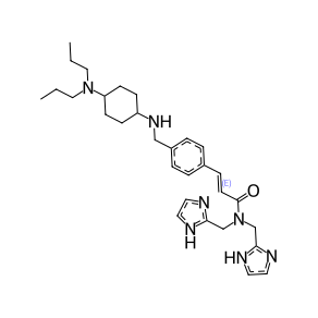 CCCN(CCC)C1CCC(NCc2ccc(/C=C/C(=O)N(Cc3ncc[nH]3)Cc3ncc[nH]3)cc2)CC1